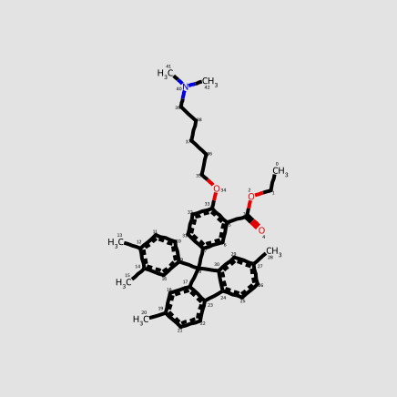 CCOC(=O)c1cc(C2(c3ccc(C)c(C)c3)c3cc(C)ccc3-c3ccc(C)cc32)ccc1OCCCCCN(C)C